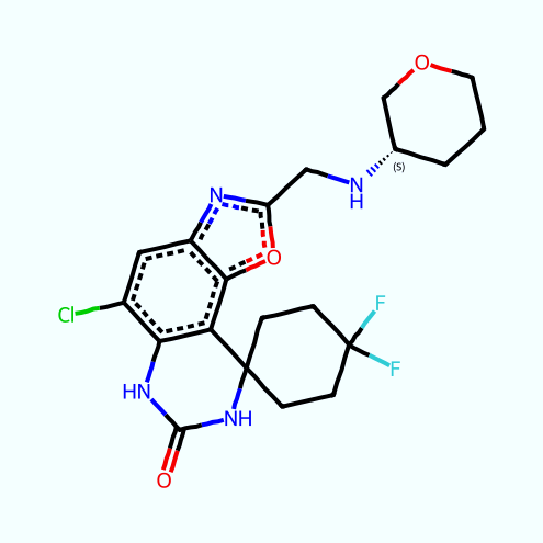 O=C1Nc2c(Cl)cc3nc(CN[C@H]4CCCOC4)oc3c2C2(CCC(F)(F)CC2)N1